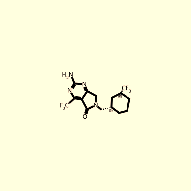 Nc1nc2c(c(C(F)(F)F)n1)C(=O)N(C[C@H]1CCC[C@@H](C(F)(F)F)C1)C2